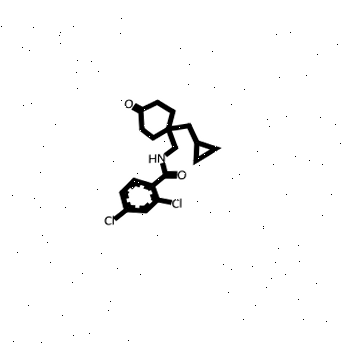 O=C1CCC(CNC(=O)c2ccc(Cl)cc2Cl)(CC2CC2)CC1